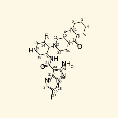 CN1CCCCC1C(=O)N1CCN(C2C(F)CNCC2NC(=O)c2c(N)nn3cc(F)cnc23)CC1